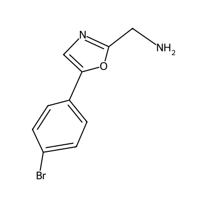 NCc1ncc(-c2ccc(Br)cc2)o1